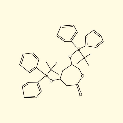 CC(C)(C)[Si](OC1COC(=O)CC(O[Si](c2ccccc2)(c2ccccc2)C(C)(C)C)C1)(c1ccccc1)c1ccccc1